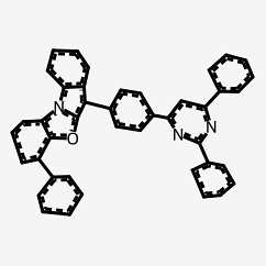 c1ccc(-c2cc(-c3ccc(-c4c5ccccc5n5c4oc4c(-c6ccccc6)cccc45)cc3)nc(-c3ccccc3)n2)cc1